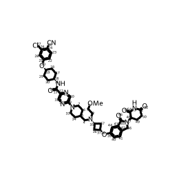 COCCN(CC1CCN(c2cnc(C(=O)N[C@H]3CC[C@H](Oc4ccc(C#N)c(Cl)c4)CC3)cn2)CC1)[C@H]1C[C@H](Oc2ccc3c(c2)C(=O)N(C2CCC(=O)NC2=O)C3)C1